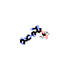 CC(C)(O)COc1cc(-c2ccc(N3CCC(N)(Cc4cccnc4)CC3)nc2)c2c(C#N)cnn2c1